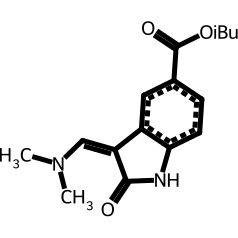 CC(C)COC(=O)c1ccc2c(c1)C(=CN(C)C)C(=O)N2